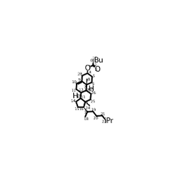 CCC(C)C(=O)O[C@H]1CC[C@@]2(C)C(=CCC3[C@@H]4CC[C@H](C(C)CCCC(C)C)[C@@]4(C)CC[C@@H]32)C1